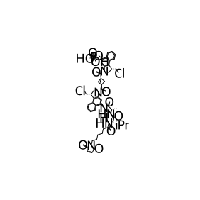 CC(C)[C@H](NC(=O)CCCCCN1C(=O)C=CC1=O)C(=O)N[C@@H](C)C(=O)Nc1cc2c(c3ccccc13)[C@H](CCl)CN2C(=O)C12CC(C(=O)N3C[C@@H](CCl)c4c3cc(OP(=O)(O)O)c3ccccc43)(C1)C2